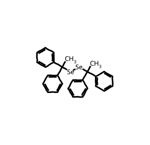 CC([Se][Se]C(C)(c1ccccc1)c1ccccc1)(c1ccccc1)c1ccccc1